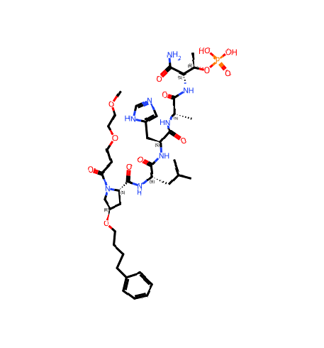 COCCOCCC(=O)N1C[C@H](OCCCCc2ccccc2)C[C@H]1C(=O)N[C@@H](CC(C)C)C(=O)N[C@@H](Cc1cnc[nH]1)C(=O)N[C@@H](C)C(=O)N[C@H](C(N)=O)[C@@H](C)OP(=O)(O)O